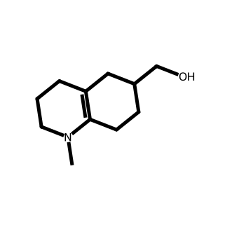 CN1CCCC2=C1CCC(CO)C2